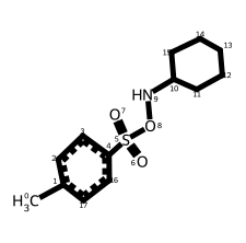 Cc1ccc(S(=O)(=O)ONC2CCCCC2)cc1